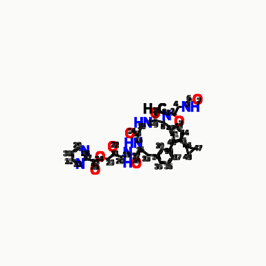 CN(C(=O)CNC=O)C1C(=O)NCC(=O)NC(C(=O)NCC(=O)COC(=O)c2ncccn2)Cc2cccc(c2)-c2cc1ccc2C1CC1